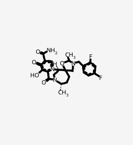 CC1OC2(CC[C@H](C)N3C[C@H]2n2cc(C(N)=O)c(=O)c(O)c2C3=O)CN1Cc1ccc(F)cc1F